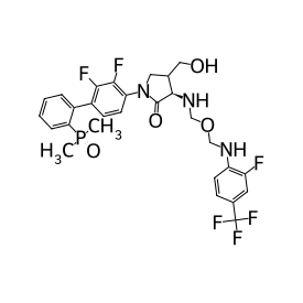 CP(C)(=O)c1ccccc1-c1ccc(N2CC(CO)[C@@H](NCOCNc3ccc(C(F)(F)F)cc3F)C2=O)c(F)c1F